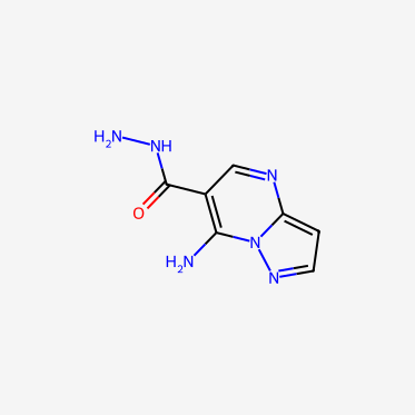 NNC(=O)c1cnc2ccnn2c1N